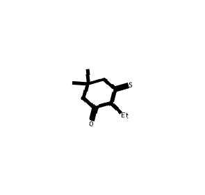 CCC1C(=O)CC(C)(C)CC1=S